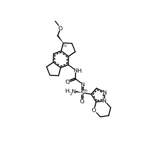 COC[C@H]1CCc2c1cc1c(c2NC(=O)N=[S@@](N)(=O)c2cnn3c2OCCC3)CCC1